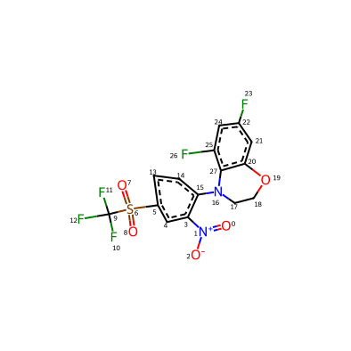 O=[N+]([O-])c1cc(S(=O)(=O)C(F)(F)F)ccc1N1CCOc2cc(F)cc(F)c21